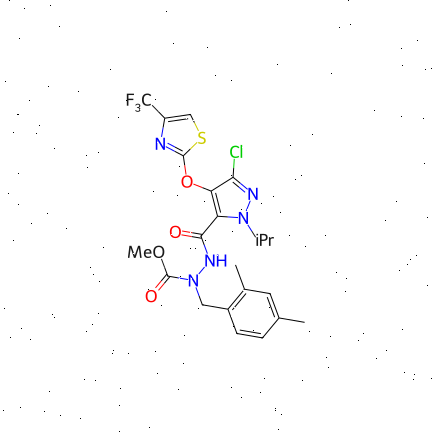 COC(=O)N(Cc1ccc(C)cc1C)NC(=O)c1c(Oc2nc(C(F)(F)F)cs2)c(Cl)nn1C(C)C